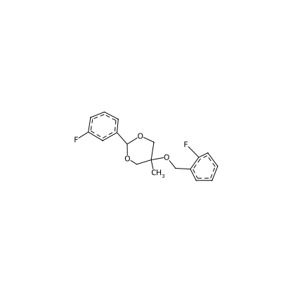 CC1(OCc2ccccc2F)COC(c2cccc(F)c2)OC1